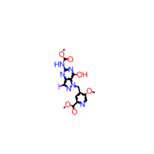 COC(=O)Nc1nc(O)c2c(n1)c(I)nn2Cc1cc(C(=O)OC)ncc1OC